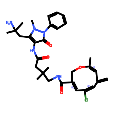 C=C1/C=C(/C)OC/C(C(=O)NCC(C)(C)CC(=O)Nc2c(CC(C)(C)N)n(C)n(-c3ccccc3)c2=O)=C\C(Cl)=C/1